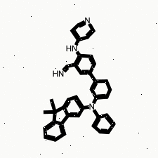 CC1(C)c2ccccc2-c2cc(N(C3=CCCC(c4ccc(Nc5ccncc5)c(C=N)c4)=C3)c3ccccc3)ccc21